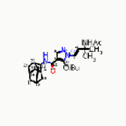 CC(=O)NC(C)(C)/C=C/n1ncc(C(=O)NC2C3CC4CC(C3)CC2C4)c1OCC(C)C